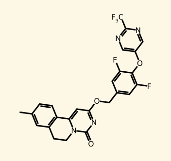 Cc1ccc2c(c1)CCn1c-2cc(OCc2cc(F)c(Oc3cnc(C(F)(F)F)nc3)c(F)c2)nc1=O